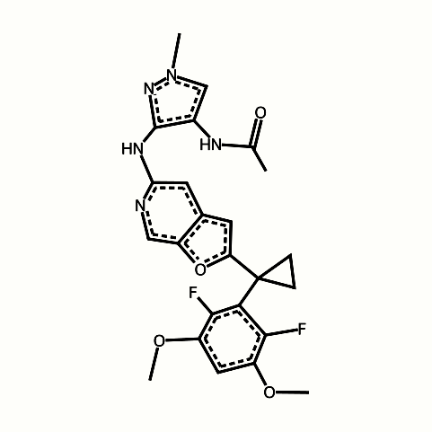 COc1cc(OC)c(F)c(C2(c3cc4cc(Nc5nn(C)cc5NC(C)=O)ncc4o3)CC2)c1F